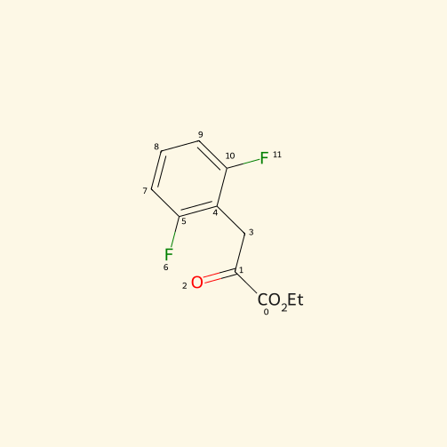 CCOC(=O)C(=O)Cc1c(F)cccc1F